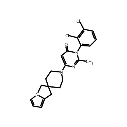 Cc1nc(N2CCC3(CC2)Cc2cccn2C3)cc(=O)n1-c1cccc(Cl)c1Cl